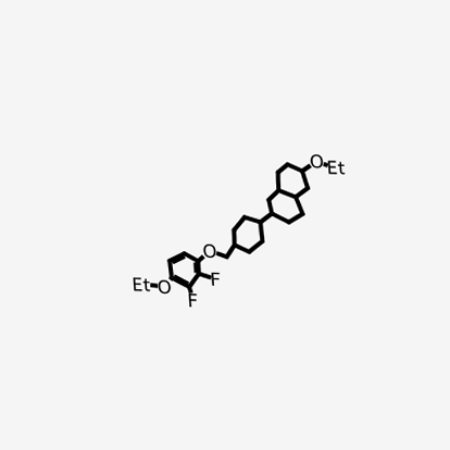 CCOc1ccc(OCC2CCC(C3CCC4CC(OCC)CCC4C3)CC2)c(F)c1F